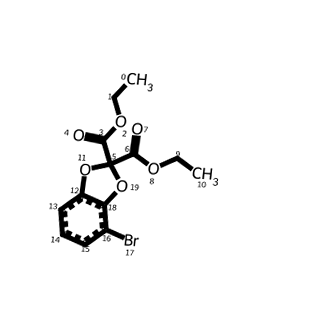 CCOC(=O)C1(C(=O)OCC)Oc2cccc(Br)c2O1